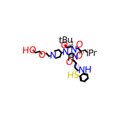 CC(C)C[C@H]1ON(C(=O)/C=C/C2=[SH]c3ccccc3N2)[C@H]2CN(C3CCN(CCOCCO)CC3)C(=O)[C@H](CC(C)(C)C)N2C1=O